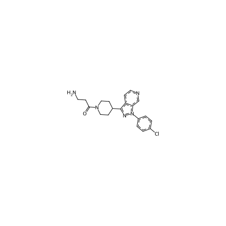 NCCC(=O)N1CCC(c2nn(-c3ccc(Cl)cc3)c3cnccc23)CC1